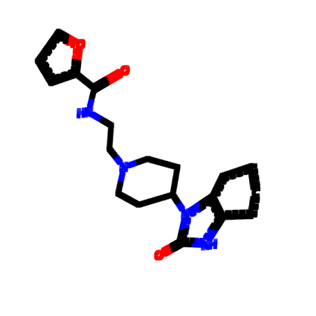 O=C(NCCN1CCC(n2c(=O)[nH]c3ccccc32)CC1)c1ccco1